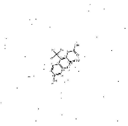 O=C(O)Cc1c(C(F)(F)F)c2ccc(O)cc2oc1=O